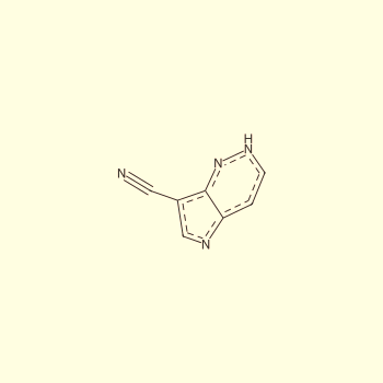 N#Cc1cnc2cc[nH]nc1-2